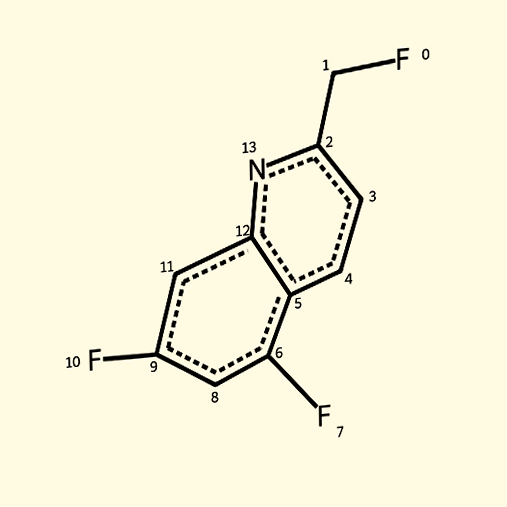 FCc1ccc2c(F)cc(F)cc2n1